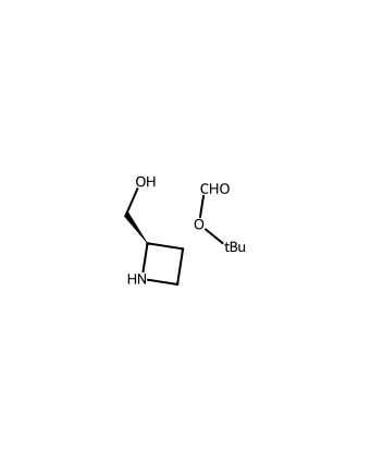 CC(C)(C)OC=O.OC[C@H]1CCN1